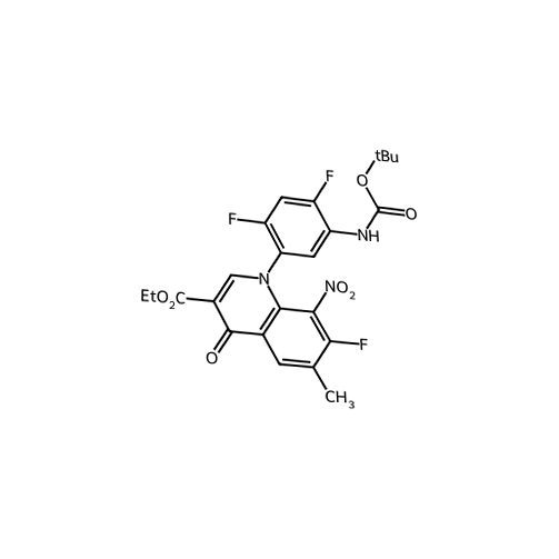 CCOC(=O)c1cn(-c2cc(NC(=O)OC(C)(C)C)c(F)cc2F)c2c([N+](=O)[O-])c(F)c(C)cc2c1=O